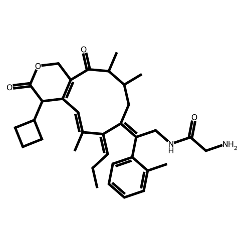 CC/C=C1C(\C)=C\C2=C(COC(=O)C2C2CCC2)C(=O)C(C)C(C)CC\1=C(/CNC(=O)CN)c1ccccc1C